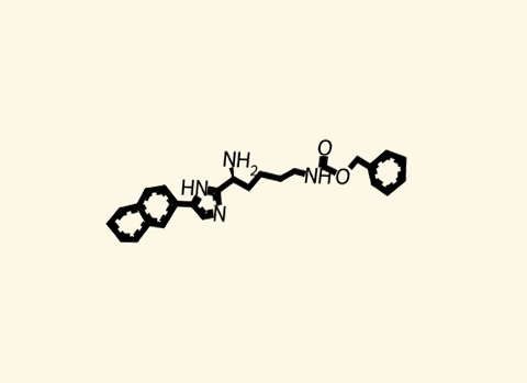 N[C@@H](CCCCNC(=O)OCc1ccccc1)c1ncc(-c2ccc3ccccc3c2)[nH]1